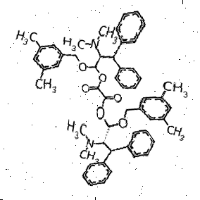 Cc1cc(C)cc(COC(OC(=O)C(=O)OC(OCc2cc(C)cc(C)c2)[C@H](C(c2ccccc2)c2ccccc2)N(C)C)[C@H](C(c2ccccc2)c2ccccc2)N(C)C)c1